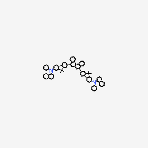 CC1(C)c2cc(-c3cc4cc(-c5ccc6c(c5)C(C)(C)c5cc(N(c7ccccc7)c7cccc8ccccc78)ccc5-6)c5ccccc5c4c4ccccc34)ccc2-c2ccc(N(c3ccccc3)c3cccc4c3CCC=C4)cc21